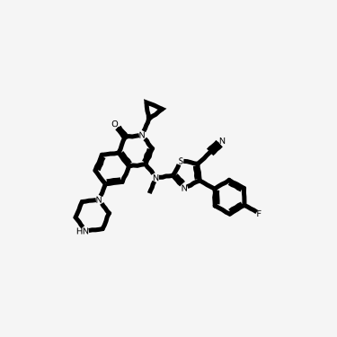 CN(c1nc(-c2ccc(F)cc2)c(C#N)s1)c1cn(C2CC2)c(=O)c2ccc(N3CCNCC3)cc12